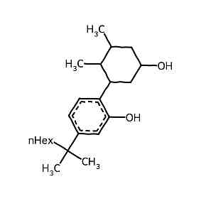 CCCCCCC(C)(C)c1ccc(C2CC(O)CC(C)C2C)c(O)c1